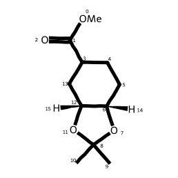 COC(=O)C1CC[C@@H]2OC(C)(C)O[C@@H]2C1